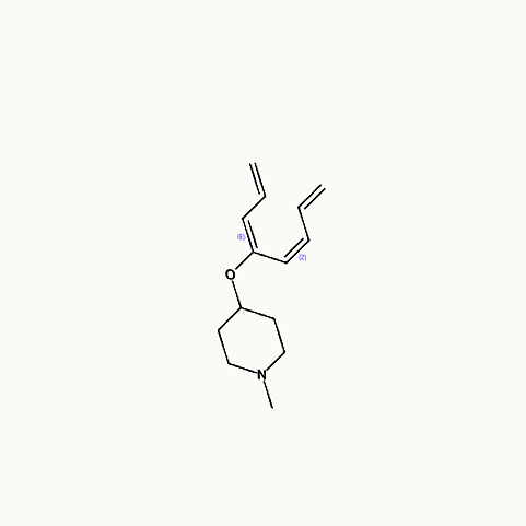 C=C/C=C\C(=C/C=C)OC1CCN(C)CC1